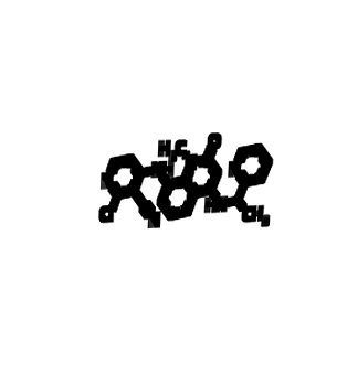 CC(Nc1cc(=O)n(C)c2c(Nc3ccnc(Cl)c3C#N)cccc12)c1ccccn1